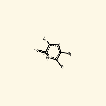 CC(=O)c1cc(Br)c(C(C)C)[nH]c1=O